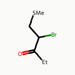 CCC(=O)C(Br)CSC